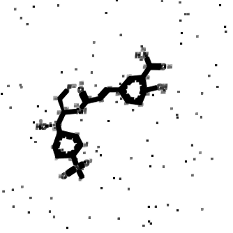 CS(=O)(=O)c1ccc([C@H](O)[C@@H](CF)NC(=O)C=Cc2ccc(O)c(C(N)=O)c2)cc1